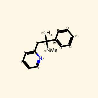 CNC(C)(Cc1ccccn1)c1ccccc1